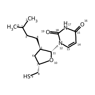 CC(C)CC[C@@H]1C[C@@H](CS)O[C@H]1n1ccc(=O)[nH]c1=O